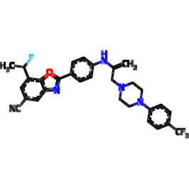 C=C(CN1CCN(c2ccc(C(F)(F)F)cc2)CC1)Nc1ccc(-c2nc3cc(C#N)cc(C(C)F)c3o2)cc1